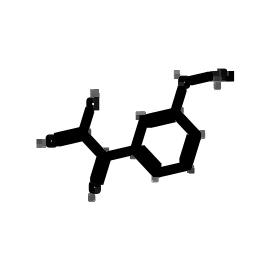 CCCCOc1cccc(C(=O)C(=O)Cl)c1